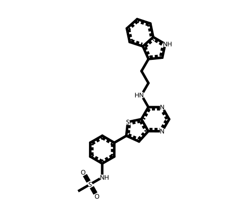 CS(=O)(=O)Nc1cccc(-c2cc3ncnc(NCCc4c[nH]c5ccccc45)c3s2)c1